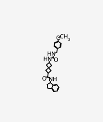 COc1ccc(CNC(=O)NC2CC3(C2)CC(C(=O)NC2CCc4ccccc42)C3)cc1